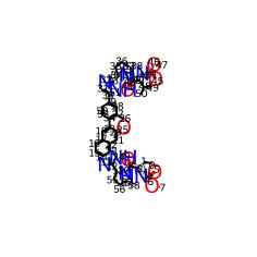 CC[C@H](NC(=O)OC)C(=O)N1C(c2nc3ccc4cc5c(cc4c3[nH]2)OCc2cc(-c3cnc([C@@H]4CC[C@H](C)N4C(=O)[C@@H](NC(=O)OC)C(C)C)[nH]3)ccc2-5)CC[C@@H]1C